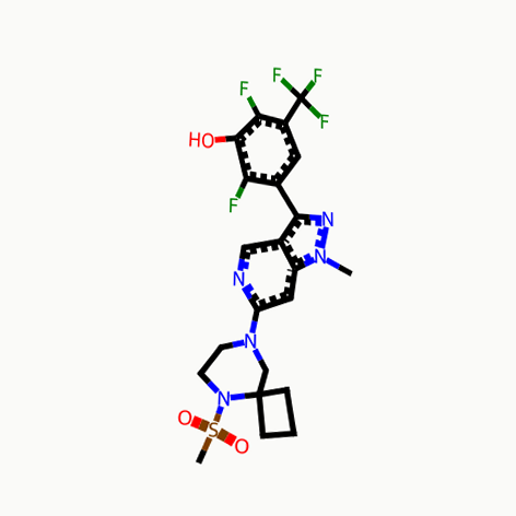 Cn1nc(-c2cc(C(F)(F)F)c(F)c(O)c2F)c2cnc(N3CCN(S(C)(=O)=O)C4(CCC4)C3)cc21